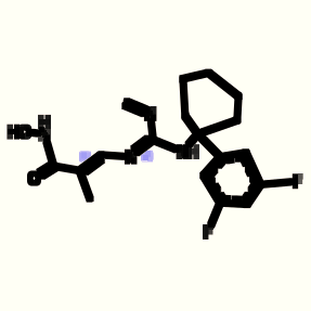 C=N/C(=N\C=C(/C)C(=O)NO)NC1(c2cc(F)cc(F)c2)CCCCC1